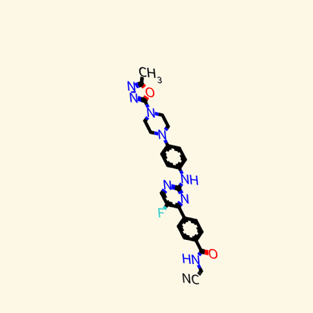 Cc1nnc(N2CCN(c3ccc(Nc4ncc(F)c(-c5ccc(C(=O)NCC#N)cc5)n4)cc3)CC2)o1